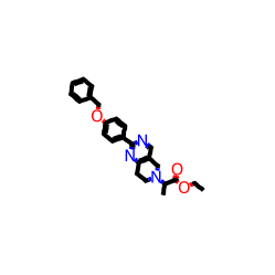 CCOC(=O)C(C)N1CCc2nc(-c3ccc(OCc4ccccc4)cc3)ncc2C1